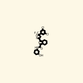 O=C(NC1CCCC(O)C1)c1sc(C2=NOC(c3cc(Cl)cc(Cl)c3)(C(F)(F)F)C2)c2c1CCCC2